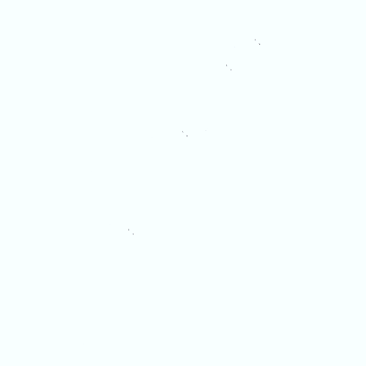 CCNC(=O)N1CCC(C(=O)NCC(CCCN2CCC(O)(c3ccc(Cl)cc3)CC2)(c2ccccc2)c2ccccc2)CC1.Cl